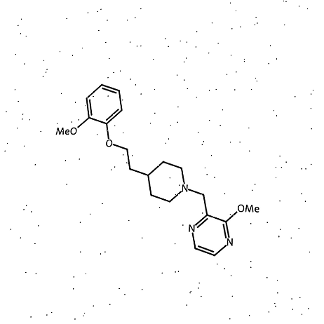 COc1ccccc1OCCC1CCN(Cc2nccnc2OC)CC1